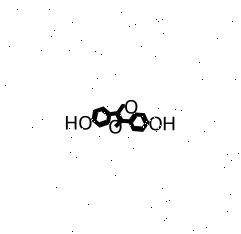 Oc1ccc2c(c1)OCc1c-2oc2cc(O)ccc12